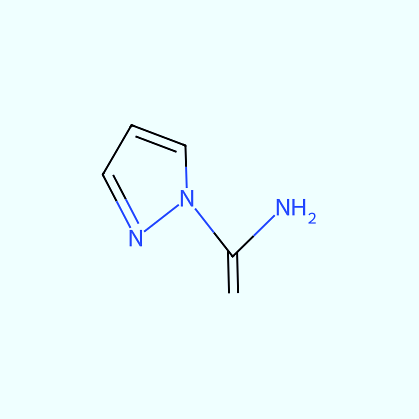 C=C(N)n1cccn1